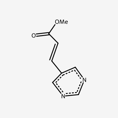 COC(=O)/C=C/c1cncnc1